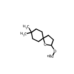 CCCCOC1CCC2(CCC(C)(C)CC2)O1